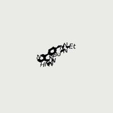 CCCCc1nc(CC)nn1Cc1ccc(-c2cnccc2-c2nnn[nH]2)cc1